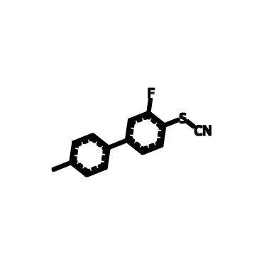 Cc1ccc(-c2ccc(SC#N)c(F)c2)cc1